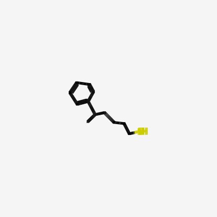 CC(CCCCS)c1ccccc1